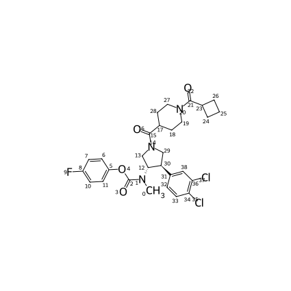 CN(C(=O)Oc1ccc(F)cc1)[C@@H]1CN(C(=O)C2CCN(C(=O)C3CCC3)CC2)C[C@H]1c1ccc(Cl)c(Cl)c1